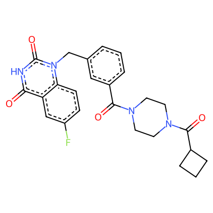 O=C(c1cccc(Cn2c(=O)[nH]c(=O)c3cc(F)ccc32)c1)N1CCN(C(=O)C2CCC2)CC1